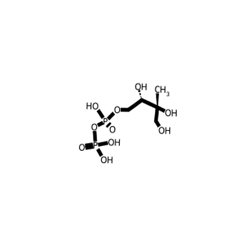 C[C@@](O)(CO)[C@@H](O)COP(=O)(O)OP(=O)(O)O